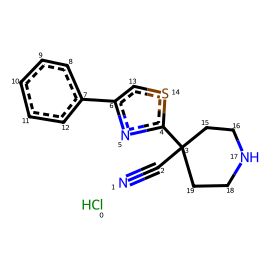 Cl.N#CC1(c2nc(-c3ccccc3)cs2)CCNCC1